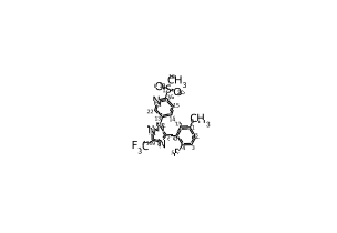 Cc1ccc(F)c(-c2nc(C(F)(F)F)nn2-c2ccc(S(C)(=O)=O)nc2)c1